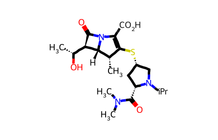 CC(C)N1C[C@@H](SC2=C(C(=O)O)N3C(=O)[C@H]([C@@H](C)O)[C@H]3[C@H]2C)C[C@H]1C(=O)N(C)C